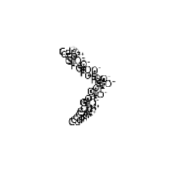 [Cd+2].[Cd+2].[Cd+2].[Cd+2].[Cd+2].[Cd+2].[Cd+2].[Cd+2].[Cd+2].[O-][Si]([O-])([O-])F.[O-][Si]([O-])([O-])F.[O-][Si]([O-])([O-])F.[O-][Si]([O-])([O-])F.[O-][Si]([O-])([O-])F.[O-][Si]([O-])([O-])F